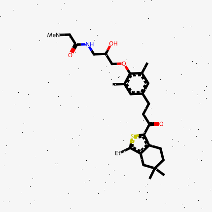 CCc1sc(C(=O)CCc2cc(C)c(OCC(O)CNC(=O)CNC)c(C)c2)c2c1CC(C)(C)CC2